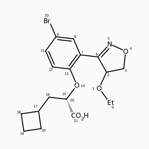 CCOC1CON=C1c1cc(Br)ccc1O[C@@H](CC1CCC1)C(=O)O